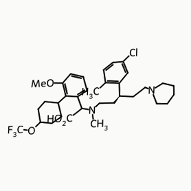 COc1cccc(C(C(=O)O)N(C)CC[C@H](CCN2CCCCC2)c2cc(Cl)ccc2C)c1C1CCC(OC(F)(F)F)CC1